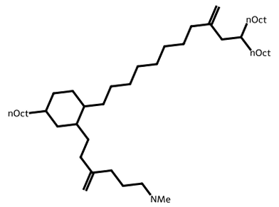 C=C(CCCNC)CCC1CC(CCCCCCCC)CCC1CCCCCCCCC(=C)CC(CCCCCCCC)CCCCCCCC